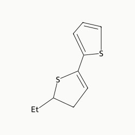 CCC1CC=C(c2cccs2)S1